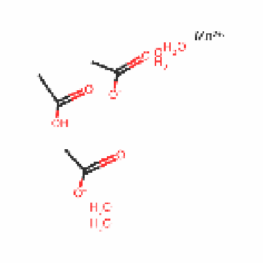 CC(=O)O.CC(=O)[O-].CC(=O)[O-].O.O.O.O.[Mn+2]